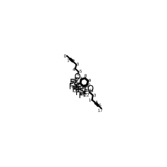 CC#CCCCOc1ccc(OCCCC#CC)c(S(F)(F)(F)(F)F)c1S(F)(F)(F)(F)F